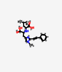 CC(C)CC(NC(Cc1cn(C)c(C#Cc2ccccc2)n1)C(=O)O)C(=O)O